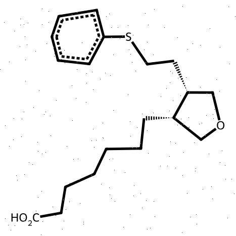 O=C(O)CCCCCC[C@H]1COC[C@H]1CCSc1ccccc1